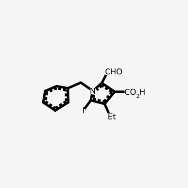 CCc1c(C(=O)O)c(C=O)n(Cc2ccccc2)c1I